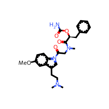 COc1ccc2c(c1)c(CCN(C)C)cn2C(=O)CN(C)C(=O)[C@H](Cc1ccccc1)OC(N)=O